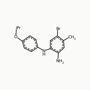 Cc1cc(N)c(Nc2ccc(OC(C)C)cc2)cc1Br